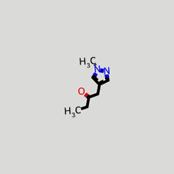 CCC(=O)Cc1cnn(C)c1